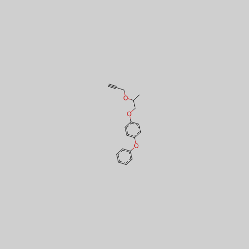 C#CCOC(C)COc1ccc(Oc2ccccc2)cc1